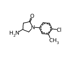 Cc1cc(N2CC(N)CC2=O)ccc1Cl